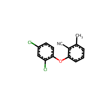 Cc1cccc(Oc2ccc(Cl)cc2Cl)c1C#N